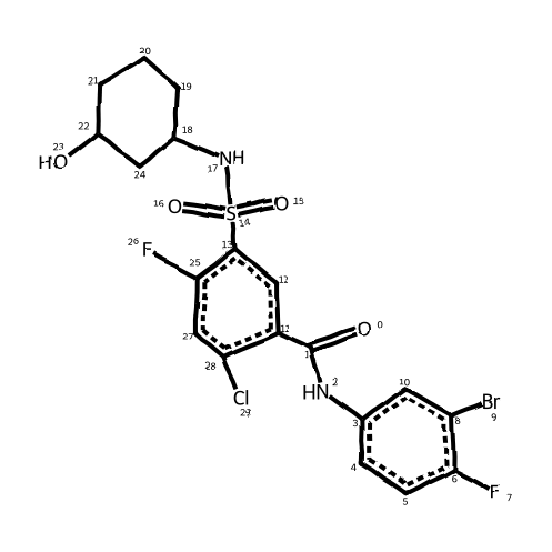 O=C(Nc1ccc(F)c(Br)c1)c1cc(S(=O)(=O)NC2CCCC(O)C2)c(F)cc1Cl